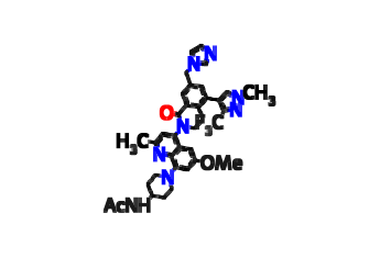 COc1cc(N2CCC(NC(C)=O)CC2)c2nc(C)cc(N3CCc4c(cc(Cn5ccnc5)cc4-c4cn(C)nc4C(F)(F)F)C3=O)c2c1